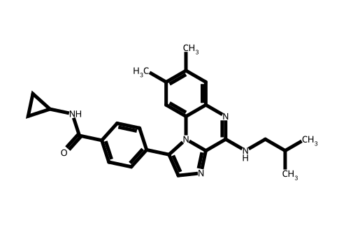 Cc1cc2nc(NCC(C)C)c3ncc(-c4ccc(C(=O)NC5CC5)cc4)n3c2cc1C